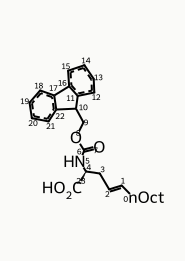 CCCCCCCCC=CC[C@H](NC(=O)OCC1c2ccccc2-c2ccccc21)C(=O)O